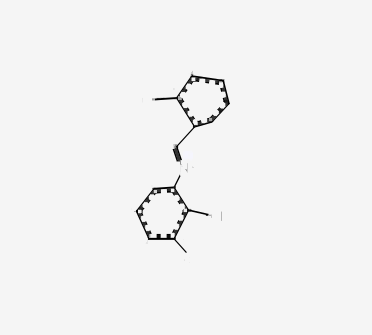 Cc1c(Cl)cccc1/N=C/c1ccccc1Cl